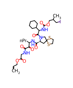 C=CCOC(=O)CNC(=O)C(=O)C(CCC)NC(=O)[C@@H]1CC2(CN1C(=O)C(NC(=O)OCC(C)CI)C1CCCCC1)SCCS2